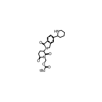 CC(C)(C)C(=O)OCN1C(=O)CCC(N2Cc3cc(C4CCCCN4)ccc3C2=O)C1=O